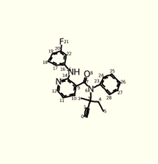 C#CC(C)(CC)N(C(=O)c1cccnc1Nc1cccc(F)c1)c1ccccc1